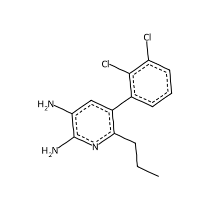 CCCc1nc(N)c(N)cc1-c1cccc(Cl)c1Cl